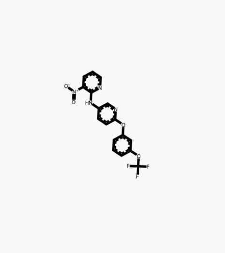 O=[N+]([O-])c1cccnc1Nc1ccc(Oc2cccc(OC(F)(F)F)c2)nc1